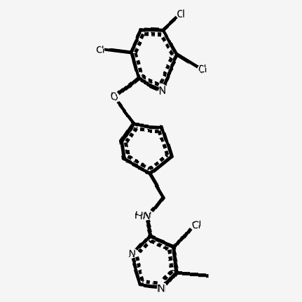 Cc1ncnc(NCc2ccc(Oc3nc(Cl)c(Cl)cc3Cl)cc2)c1Cl